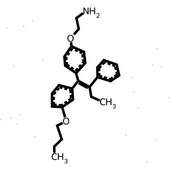 CCCCOc1cccc(/C(=C(\CC)c2ccccc2)c2ccc(OCCN)cc2)c1